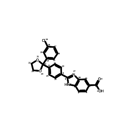 O=C(O)c1ccc2[nH]c(-c3ccc(C4(c5cccc(Cl)c5)OCCO4)cc3)nc2c1